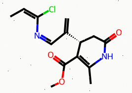 C=C(/C=N\C(Cl)=C/C)[C@@H]1CC(=O)NC(C)=C1C(=O)OC